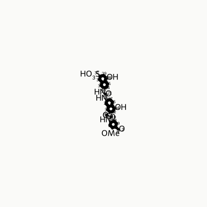 COC(=O)c1ccc(NS(=O)(=O)c2cc(O)c3ccc(NC(=O)Nc4ccc5c(O)cc(S(=O)(=O)O)cc5c4)cc3c2)cc1